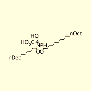 CCCCCCCCC=CCCCCCCCC(=O)PN(C(=O)CCCCCCCCCCCCCCC)[C@@H](CO)C(=O)O